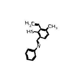 C=Cc1c(C)ccc(/C=N/c2ccccc2)c1S